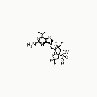 CN(C)c1nc(N)nc2c1ncn2CCOC(CC(F)(F)F)(CC(F)(F)F)P(=O)(O)O